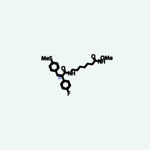 CONC(=O)CCCCCCNC(=O)/C(=C\c1ccc(SC)cc1)c1ccc(F)cc1